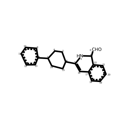 O=CC1NC(C2CCC(c3ccccc3)CC2)=Cc2ccccc21